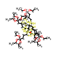 CCO[Si](CCCS(S)(SS)C(C)(CCCC(C)CC)C(S(S)(CCC[Si](OCC)(OCC)OCC)SS)(S(S)(CCC[Si](OCC)(OCC)OCC)SS)S(S)(CCC[Si](OCC)(OCC)OCC)SS)(OCC)OCC